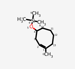 C/C1=C/CC(O[Si](C)(C)C)CCCC1